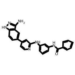 Nc1n[nH]c2ccc(-c3ccnc(Nc4cccc(NC(=O)c5ccccc5)c4)c3)cc12